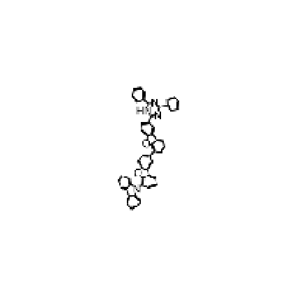 c1ccc(C2=NC(c3ccccc3)NC(c3ccc4oc5c(-c6ccc7oc8c(-n9c%10ccccc%10c%10ccccc%109)cccc8c7c6)cccc5c4c3)=N2)cc1